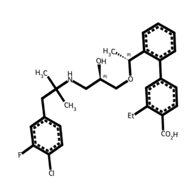 CCc1cc(-c2ccccc2[C@@H](C)OC[C@H](O)CNC(C)(C)Cc2ccc(Cl)c(F)c2)ccc1C(=O)O